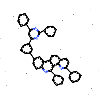 c1ccc(-c2cc(-c3cccc(-c4ccc5nc(-c6ccccc6)c6c(ccc7ccc(-c8ccccc8)nc76)c5c4)c3)nc(-c3ccccc3)n2)cc1